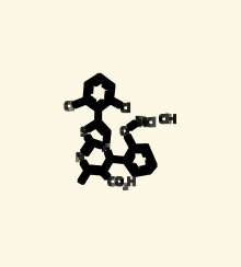 CCOc1ccccc1C1C(C(=O)O)=C(C)N=C2SC(c3c(Cl)cccc3Cl)=CN21.Cl.Cl